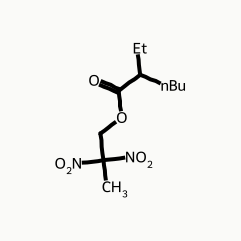 CCCCC(CC)C(=O)OCC(C)([N+](=O)[O-])[N+](=O)[O-]